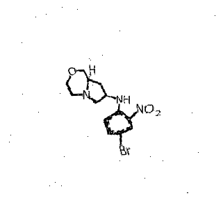 O=[N+]([O-])c1cc(Br)ccc1N[C@@H]1C[C@@H]2COCCN2C1